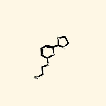 OCCOC1C=CC=C(C2OCCO2)O1